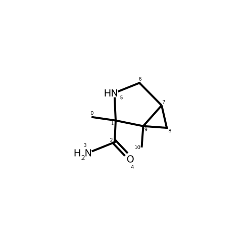 CC1(C(N)=O)NCC2CC21C